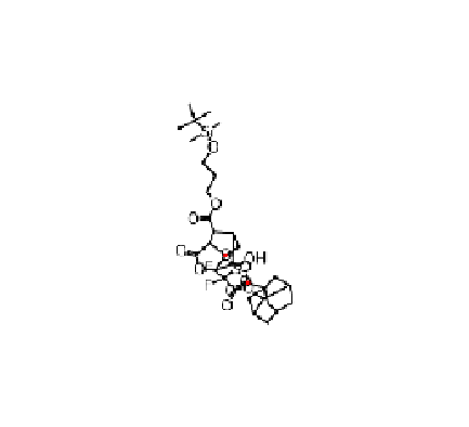 CC(C)(C)[Si](C)(C)OCCCOC(=O)C1C2CC3C(OC(=O)C31)C2OC(=O)C12CC3CC(C1)C(OC(=O)C(F)(F)S(=O)(=O)O)C(C3)C2